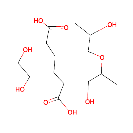 CC(O)COC(C)CO.O=C(O)CCCCC(=O)O.OCCO